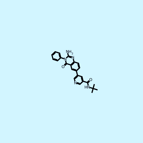 CC(C)(C)NC(=O)c1cncc(-c2ccc3nc(N)n(-c4ccccc4)c(=O)c3c2)c1